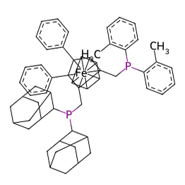 Cc1ccccc1P(C[C]12[CH]3[C]4(c5ccccc5)[C]5(c6ccccc6)[C]1(CP(C1C6CC7CC(C6)CC1C7)C1C6CC7CC(C6)CC1C7)[Fe]32451678[CH]2[CH]1[CH]6[CH]7[CH]28)c1ccccc1C